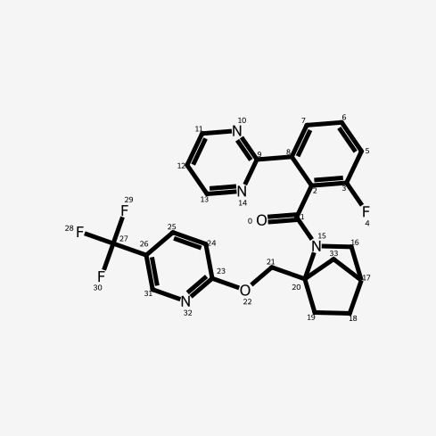 O=C(c1c(F)cccc1-c1ncccn1)N1CC2CCC1(COc1ccc(C(F)(F)F)cn1)C2